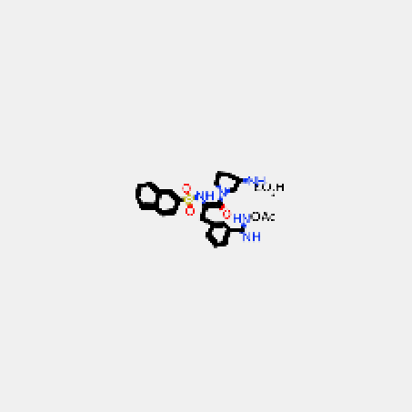 CC(=O)ONC(=N)c1cccc(CC(NS(=O)(=O)c2ccc3ccccc3c2)C(=O)N2CCCC(NC(=O)O)C2)c1